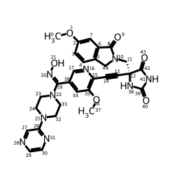 COc1ccc2c(c1)C(=O)N(C[C@@]1(C#Cc3ncc(/C(=N\O)N4CCN(c5cnccn5)CC4)cc3OC)NC(=O)NC1=O)C2